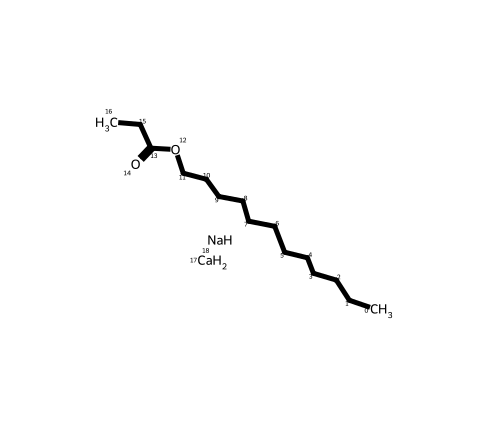 CCCCCCCCCCCCOC(=O)CC.[CaH2].[NaH]